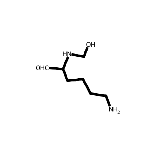 NCCCCC(C=O)NCO